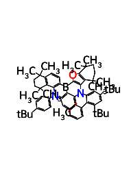 Cc1cc2c3c(c1)N(c1cc(C(C)(C)C)cc(C(C)(C)C)c1-c1ccccc1)c1c(oc4c1C(C)(C)CCC4(C)C)B3c1ccc3c(c1N2c1ccc(C(C)(C)C)cc1)C(C)(C)CCC3(C)C